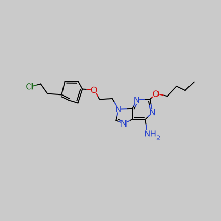 CCCCOc1nc(N)c2ncn(CCOc3ccc(CCCl)cc3)c2n1